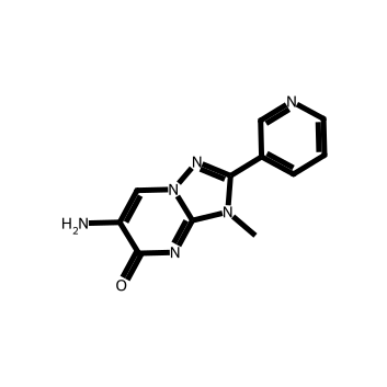 Cn1c(-c2cccnc2)nn2cc(N)c(=O)nc12